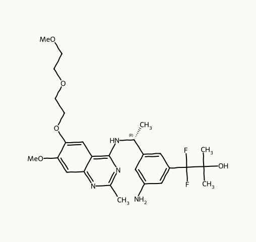 COCCOCCOc1cc2c(N[C@H](C)c3cc(N)cc(C(F)(F)C(C)(C)O)c3)nc(C)nc2cc1OC